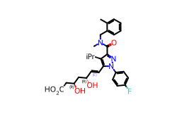 Cc1ccccc1CN(C)C(=O)c1nn(-c2ccc(F)cc2)c(/C=C/[C@H](O)C[C@@H](O)CC(=O)O)c1C(C)C